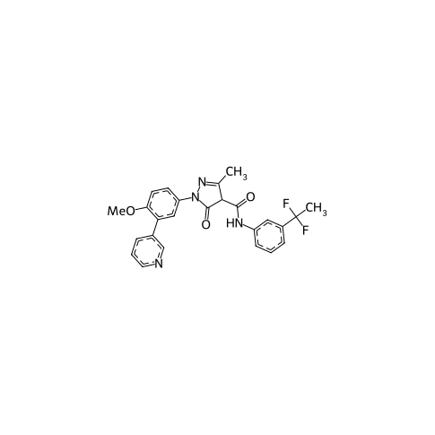 COc1ccc(N2N=C(C)C(C(=O)Nc3cccc(C(C)(F)F)c3)C2=O)cc1-c1cccnc1